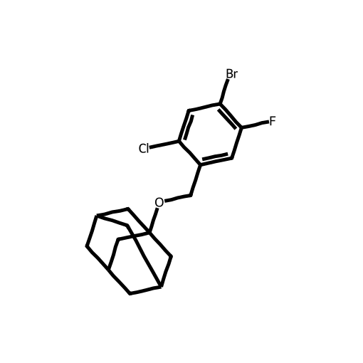 Fc1cc(COC23CC4CC(CC(C4)C2)C3)c(Cl)cc1Br